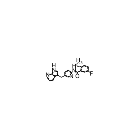 Cc1ccc(F)cc1C(=O)Nc1ccc(Cc2c[nH]c3ncccc23)cn1